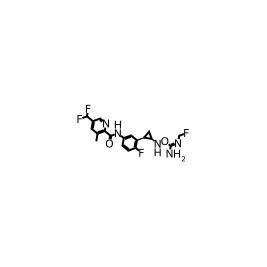 Cc1cc(C(F)F)cnc1C(=O)Nc1ccc(F)c([C@H]2C[C@H]2NO/C(N)=N\CF)c1